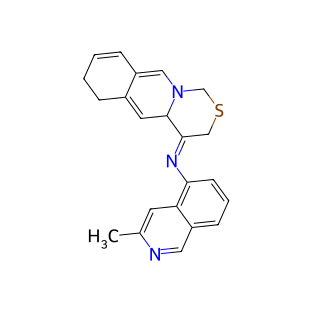 Cc1cc2c(N=C3CSCN4C=C5C=CCCC5=CC34)cccc2cn1